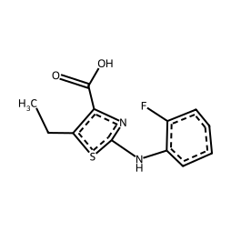 CCc1sc(Nc2ccccc2F)nc1C(=O)O